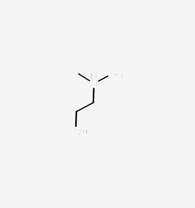 C[SiH](CCC(C)(C)C)C(C)(C)C